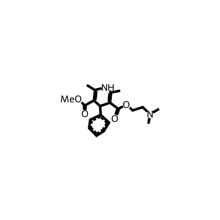 COC(=O)C1=C(C)NC(C)=C(C(=O)OCCN(C)C)C1c1ccccc1